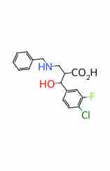 O=C(O)C(CNCc1ccccc1)C(O)c1ccc(Cl)c(F)c1